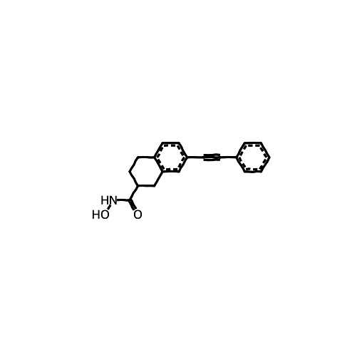 O=C(NO)C1CCc2ccc(C#Cc3ccccc3)cc2C1